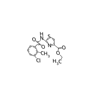 CCOC(=O)c1csc(NS(=O)(=O)c2cccc(Cl)c2C)n1